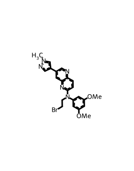 COc1cc(OC)cc(N(CCBr)c2ccc3ncc(-c4cnn(C)c4)cc3n2)c1